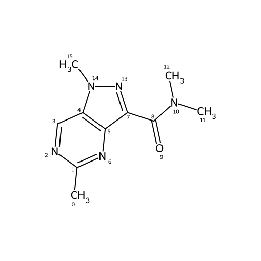 Cc1ncc2c(n1)c(C(=O)N(C)C)nn2C